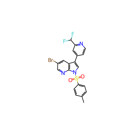 Cc1ccc(S(=O)(=O)n2cc(-c3ccnc(C(F)F)c3)c3cc(Br)cnc32)cc1